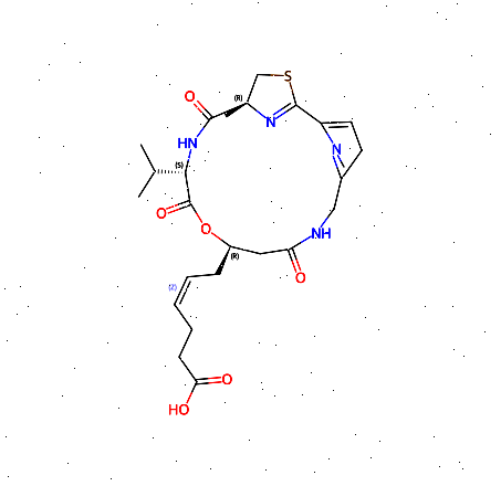 CC(C)[C@@H]1NC(=O)[C@]2(C)CSC(=N2)C2=CCC(=N2)CNC(=O)C[C@@H](C/C=C\CCC(=O)O)OC1=O